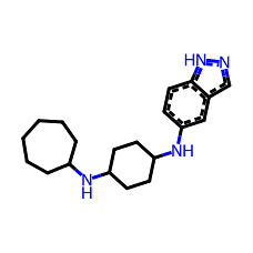 c1cc2[nH]ncc2cc1NC1CCC(NC2CCCCCC2)CC1